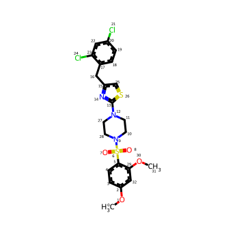 COc1ccc(S(=O)(=O)N2CCN(c3nc(Cc4ccc(Cl)cc4Cl)cs3)CC2)c(OC)c1